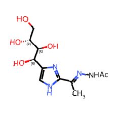 CC(=O)NN=C(C)c1nc([C@@H](O)[C@H](O)[C@H](O)CO)c[nH]1